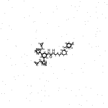 O=C(NCCCN1CCC[C@@H](Cc2ccc(F)cc2)C1)Nc1cc(-c2nnnn2CC2CC2)cc(-c2nnnn2CC2CC2)c1